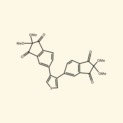 COC1(OC)C(=O)c2ccc(-c3cscc3-c3ccc4c(c3)C(=O)C(OC)(OC)C4=O)cc2C1=O